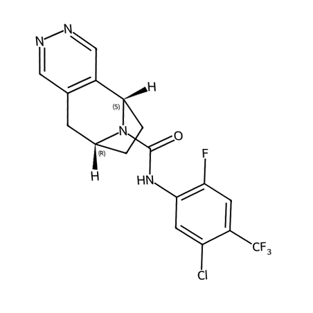 O=C(Nc1cc(Cl)c(C(F)(F)F)cc1F)N1[C@@H]2CC[C@H]1c1cnncc1C2